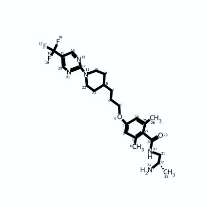 Cc1cc(OCCCC2CCN(c3ncc(C(F)(F)F)cn3)CC2)cc(C)c1C(=O)NC[C@H](C)N